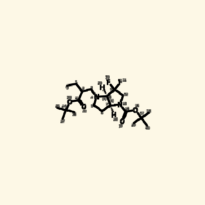 CCC(CN1CC[C@H]2[C@@H]1C(F)(F)CN2C(=O)OC(C)(C)C)C(=O)OC(C)(C)C